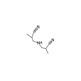 CC(C#N)CNCC(C)C#N